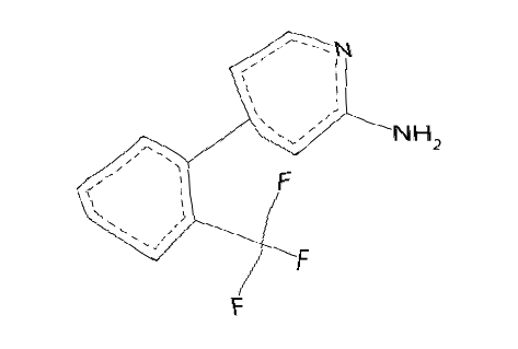 Nc1cc(-c2ccccc2C(F)(F)F)ccn1